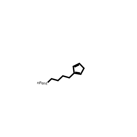 CCCCCCCCCC1=[C]CC=C1